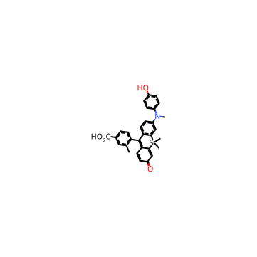 Cc1cc(C(=O)O)ccc1C1=C2C=CC(=O)C=C2[Si](C)(C)c2cc(N(C)c3ccc(O)cc3)ccc21